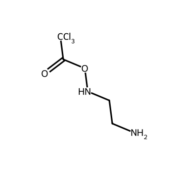 NCCNOC(=O)C(Cl)(Cl)Cl